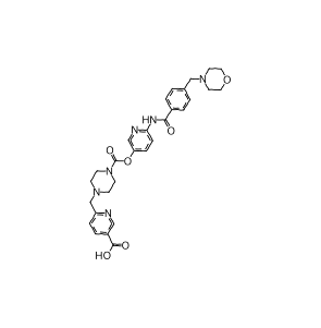 O=C(O)c1ccc(CN2CCN(C(=O)Oc3ccc(NC(=O)c4ccc(CN5CCOCC5)cc4)nc3)CC2)nc1